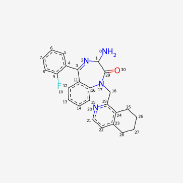 NC1N=C(c2ccccc2F)c2ccccc2N(Cc2nccc3c2CCCC3)C1=O